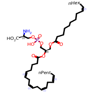 CCCCC/C=C\C/C=C\C/C=C\C/C=C\CCCC(=O)O[C@H](COC(=O)CCCCCCC/C=C\CCCCCC)COP(=O)(O)OC[C@H](N)C(=O)O